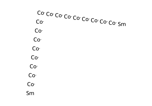 [Co].[Co].[Co].[Co].[Co].[Co].[Co].[Co].[Co].[Co].[Co].[Co].[Co].[Co].[Co].[Co].[Co].[Sm].[Sm]